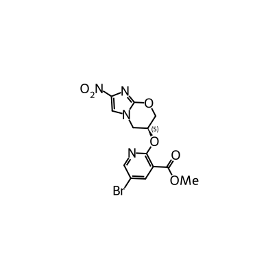 COC(=O)c1cc(Br)cnc1O[C@@H]1COc2nc([N+](=O)[O-])cn2C1